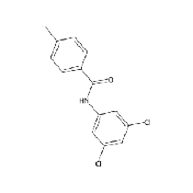 [CH2]c1ccc(C(=O)Nc2cc(Cl)cc(Cl)c2)cc1